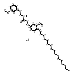 CCCCCCCCCCCCCCCCOc1ccc(OCC(=O)NCCc2ccc[n+](CC)c2)cc1OC.[I-]